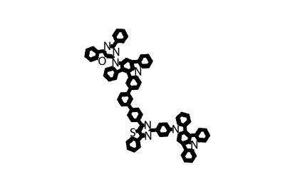 c1ccc(-c2nc(-n3c4ccccc4c4c5c6cc(-c7cccc(-c8ccc(-c9nc(-c%10ccc(-n%11c%12ccccc%12c%12c%13c%14ccccc%14n%14c%15ccccc%15c(cc%12%11)c%13%14)cc%10)nc%10c9sc9ccccc9%10)cc8)c7)ccc6n6c7ccccc7c(cc43)c56)c3oc4ccccc4c3n2)cc1